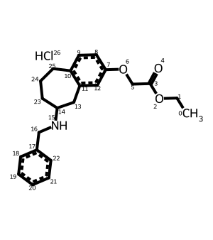 CCOC(=O)COc1ccc2c(c1)CC(NCc1ccccc1)CCC2.Cl